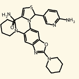 NC(=O)C1=CSC(c2ccc(N)nc2)N1c1cc2oc(N3CCCCC3)nc2cc1N1CCCCC1